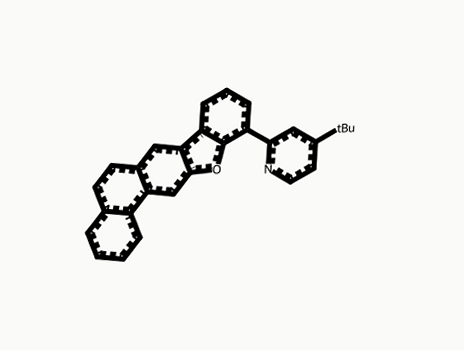 CC(C)(C)c1ccnc(-c2cccc3c2oc2cc4c(ccc5ccccc54)cc23)c1